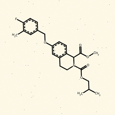 COC(=O)C1c2ccc(OCc3ccc(F)c(C)c3)cc2CCN1C(=O)OCC(C)C